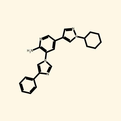 Nc1ncc(-c2cnn(C3CCCCC3)c2)cc1-n1cnc(-c2ccccc2)c1